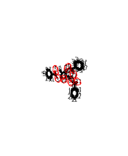 CC1C(OC(=O)c2ccccc2)OC(COC(=O)c2ccccc2)C1OC(=O)c1ccccc1